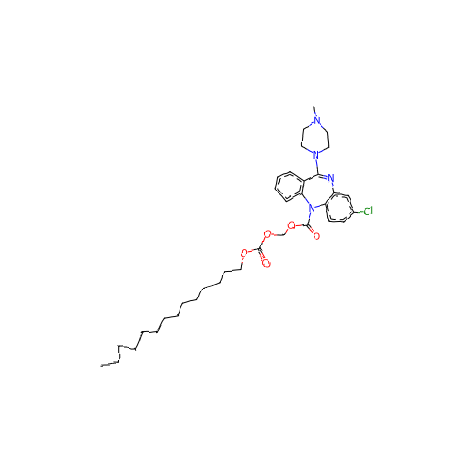 CCCCCCCCCCCCCCOC(=O)OCOC(=O)N1c2ccc(Cl)cc2N=C(N2CCN(C)CC2)c2ccccc21